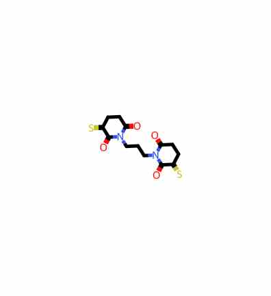 O=C1CCC(=S)C(=O)N1CCCN1C(=O)CCC(=S)C1=O